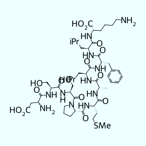 CSCC[C@H](NC(=O)[C@@H]1CCCN1C(=O)[C@H](CO)NC(=O)[C@H](CO)NC(=O)[C@@H](N)CC(=O)O)C(=O)N[C@@H](C)C(=O)N[C@@H](CC(C)C)C(=O)N[C@@H](Cc1ccccc1)C(=O)N[C@@H](CC(C)C)C(=O)N[C@@H](CCCCN)C(=O)O